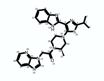 CC(C)c1nc(-c2nc3ccccc3[nH]2)c(N2CCN(C(=O)Cn3cnc4cccnc43)[C@H](C)C2)s1